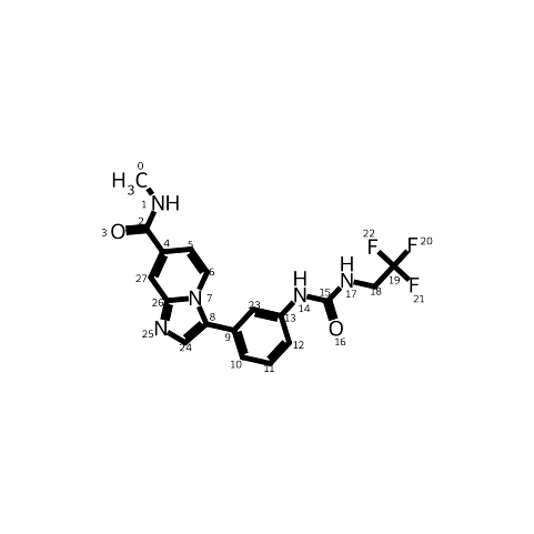 CNC(=O)c1ccn2c(-c3cccc(NC(=O)NCC(F)(F)F)c3)cnc2c1